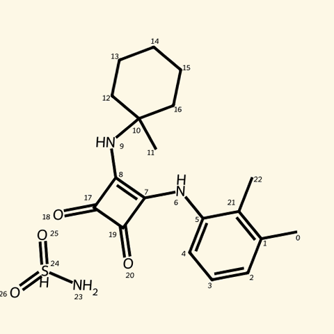 Cc1cccc(Nc2c(NC3(C)CCCCC3)c(=O)c2=O)c1C.N[SH](=O)=O